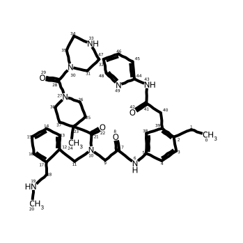 CCc1ccc(NC(=O)CN(Cc2ccccc2CNC)C(=O)C2(C)CCN(C(=O)N3CCNCC3)CC2)cc1CC(=O)Nc1ccccn1